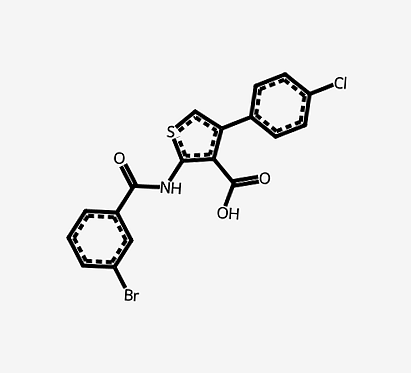 O=C(Nc1scc(-c2ccc(Cl)cc2)c1C(=O)O)c1cccc(Br)c1